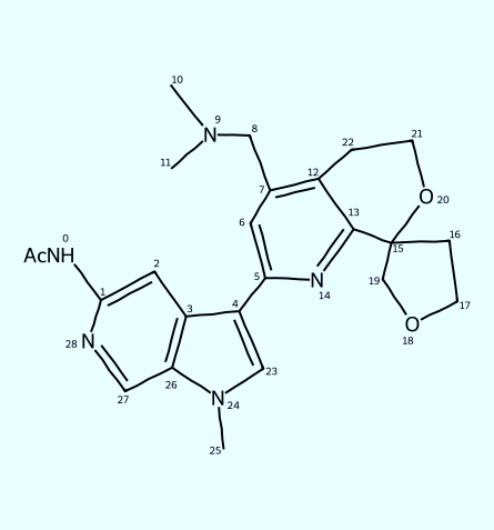 CC(=O)Nc1cc2c(-c3cc(CN(C)C)c4c(n3)C3(CCOC3)OCC4)cn(C)c2cn1